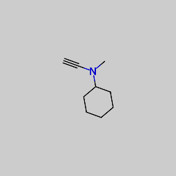 C#CN(C)C1CCCCC1